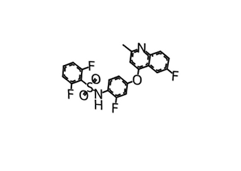 Cc1cc(Oc2ccc(NS(=O)(=O)c3c(F)cccc3F)c(F)c2)c2cc(F)ccc2n1